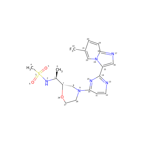 C[C@H](NS(C)(=O)=O)[C@@H]1CN(c2ccnc(-c3cnc4ccc(C(F)(F)F)cn34)n2)CCO1